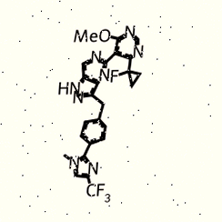 COc1ncnc(C2(F)CC2)c1-c1ncc2[nH]nc(Cc3ccc(-c4nc(C(F)(F)F)cn4C)cc3)c2n1